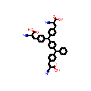 N#C/C(=C/c1ccc(C(c2ccccc2)c2ccc(C(c3ccc(/C=C(/C#N)C(=O)O)cc3)c3ccc(/C=C(\C#N)C(=O)O)cc3)cc2)cc1)C(=O)O